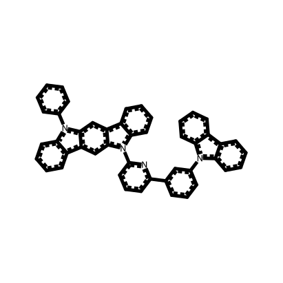 c1ccc(-n2c3ccccc3c3cc4c(cc32)c2ccccc2n4-c2cccc(-c3cccc(-n4c5ccccc5c5ccccc54)c3)n2)cc1